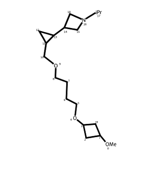 COC1CC(OCCCCOCC2CC2C2CN(C(C)C)C2)C1